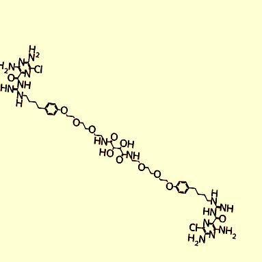 N=C(NCCCCc1ccc(OCCOCCOCCNC(=O)C(O)C(O)C(=O)NCCOCCOCCOc2ccc(CCCCNC(=N)NC(=O)c3nc(Cl)c(N)nc3N)cc2)cc1)NC(=O)c1nc(Cl)c(N)nc1N